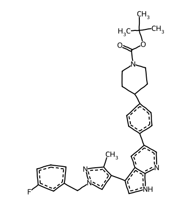 Cc1nn(Cc2cccc(F)c2)cc1-c1c[nH]c2ncc(-c3ccc(C4CCN(C(=O)OC(C)(C)C)CC4)cc3)cc12